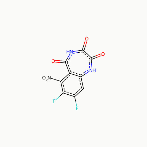 O=c1[nH]c(=O)c2c([N+](=O)[O-])c(F)c(F)cc2[nH]c1=O